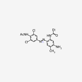 CCC(=O)Nc1cc(N)c(C)cc1/N=N/c1cc(Cl)c(NC(C)=O)c(Cl)c1